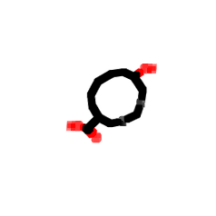 O=C(O)C1CCCCCC(O)CCCCC1